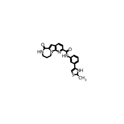 CC1NC(c2cccc(NC(=O)c3ccc4cc5n(c4n3)CCCNC5=O)c2)=CS1